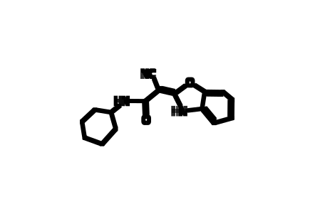 N#CC(C(=O)NC1CCCCC1)=C1Nc2ccccc2O1